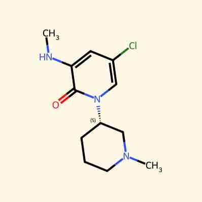 CNc1cc(Cl)cn([C@H]2CCCN(C)C2)c1=O